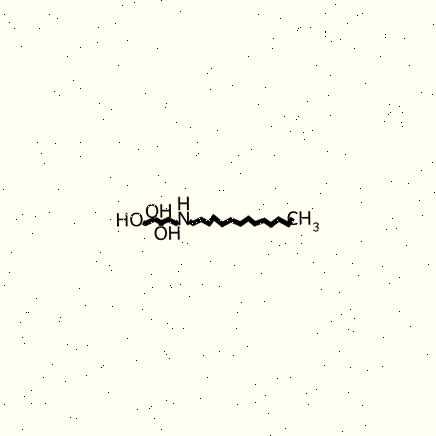 CCCCCCCCCCCCCCNCCC(O)C(O)CO